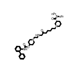 CCCN(CCC)C(=O)[C@@H]1CCCN(CCCCCC(=O)CNCCN2CCC(OC(=O)Nc3ccccc3-c3ccccc3)CC2)C1